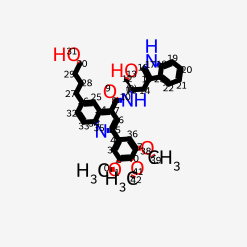 COc1cc(-c2cc(C(=O)N[C@@H](CO)Cc3c[nH]c4ccccc34)c3cc(CCCCO)ccc3n2)cc(OC)c1OC